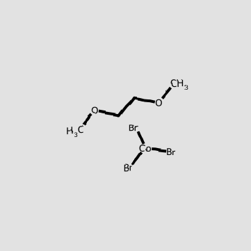 COCCOC.[Br][Co]([Br])[Br]